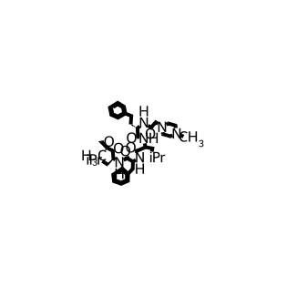 CC(C)CC(NC(=O)[C@H](CCc1ccccc1)NC(=O)CN1CCN(C)CC1)C(=O)NC(Cc1ccccc1)C(=O)N[C@@H](CC(C)C)C(=O)[C@@]1(C)CO1